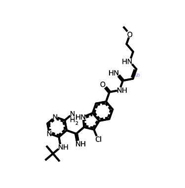 COCCN/C=C\C(=N)NC(=O)c1ccc2c(Cl)c(C(=N)c3c(N)ncnc3NC(C)(C)C)[nH]c2c1